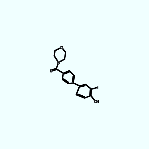 O=C(c1ccc(-c2ccc(O)c(I)c2)cc1)N1CCOCC1